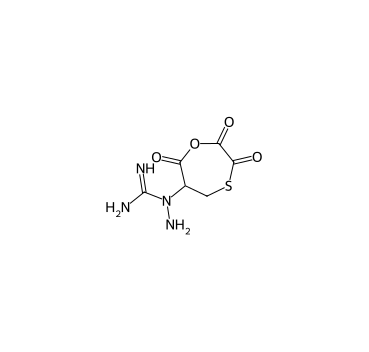 N=C(N)N(N)C1CSC(=O)C(=O)OC1=O